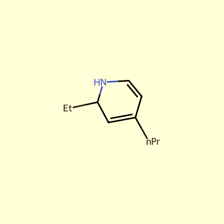 CCCC1=CC(CC)NC=C1